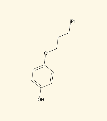 CC(C)CCCOc1ccc(O)cc1